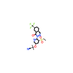 CCS(=O)(=O)c1cc(OC(C)(C)C#N)cnc1-n1ncc2ccc(C(F)(F)F)cc2c1=O